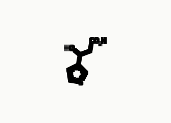 O=C(O)CC(O)c1ccsc1